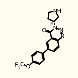 O=c1c2cc(-c3ccc(OC(F)(F)F)cc3)ccc2nnn1[C@@H]1CCNC1